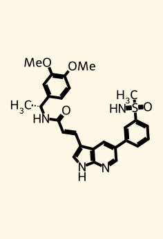 COc1ccc([C@@H](C)NC(=O)/C=C/c2c[nH]c3ncc(-c4cccc(S(C)(=N)=O)c4)cc23)cc1OC